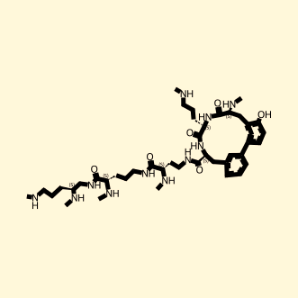 CNCCC[C@@H](CNC(=O)[C@H](CCCNC(=O)[C@H](CCNC(=O)[C@@H]1Cc2cccc(c2)-c2ccc(O)c(c2)C[C@H](NC)C(=O)N[C@@H](CCCNC)C(=O)N1)NC)NC)NC